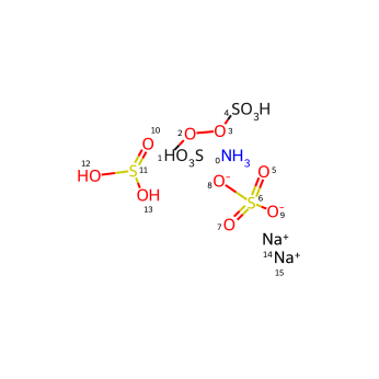 N.O=S(=O)(O)OOS(=O)(=O)O.O=S(=O)([O-])[O-].O=S(O)O.[Na+].[Na+]